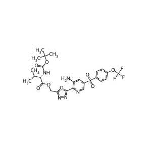 CC(C)[C@H](NC(=O)OC(C)(C)C)C(=O)OCc1nnc(-c2ncc(S(=O)(=O)c3ccc(OC(F)(F)F)cc3)cc2N)o1